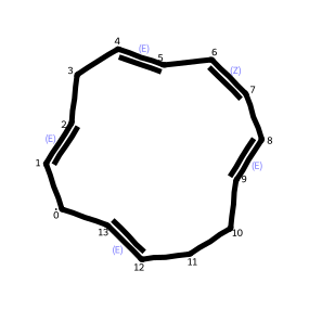 [CH]1/C=C/C/C=C/C=C\C=C\CC/C=C/1